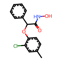 Cc1ccc(OC(C(=O)NO)c2ccccc2)c(Cl)c1